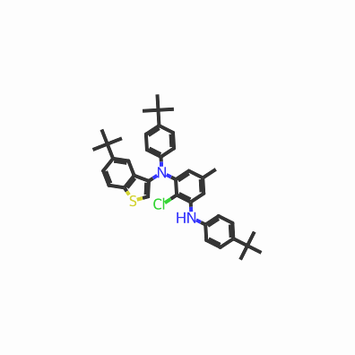 Cc1cc(Nc2ccc(C(C)(C)C)cc2)c(Cl)c(N(c2ccc(C(C)(C)C)cc2)c2csc3ccc(C(C)(C)C)cc23)c1